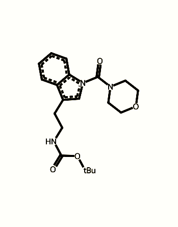 CC(C)(C)OC(=O)NCCc1cn(C(=O)N2CCOCC2)c2ccccc12